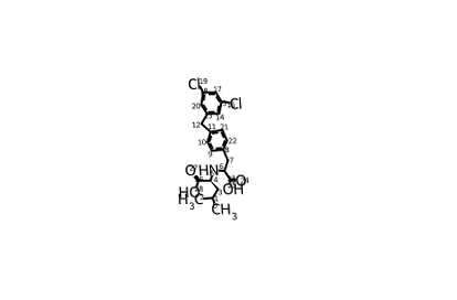 CC(C)C[C@H](NC(Cc1ccc(Cc2cc(Cl)cc(Cl)c2)cc1)C(=O)O)C(=O)O